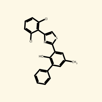 Cc1cc(-c2ccccc2)c(O)c(-c2nc(-c3c(Cl)cccc3Cl)cs2)c1